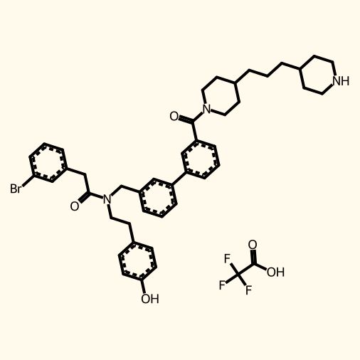 O=C(Cc1cccc(Br)c1)N(CCc1ccc(O)cc1)Cc1cccc(-c2cccc(C(=O)N3CCC(CCCC4CCNCC4)CC3)c2)c1.O=C(O)C(F)(F)F